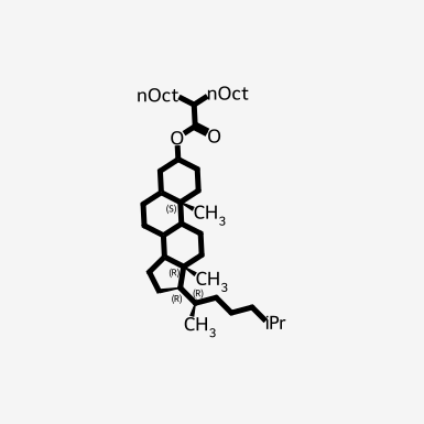 CCCCCCCCC(CCCCCCCC)C(=O)OC1CC[C@@]2(C)C(CCC3C2CC[C@@]2(C)C3CC[C@@H]2[C@H](C)CCCC(C)C)C1